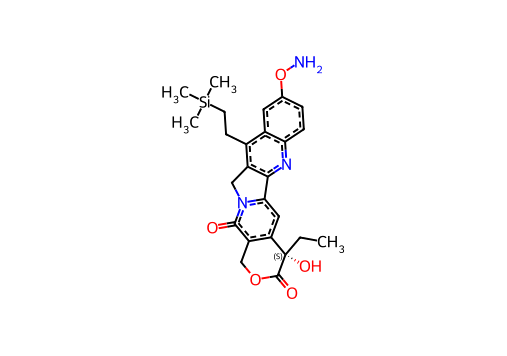 CC[C@@]1(O)C(=O)OCc2c1cc1n(c2=O)Cc2c-1nc1ccc(ON)cc1c2CC[Si](C)(C)C